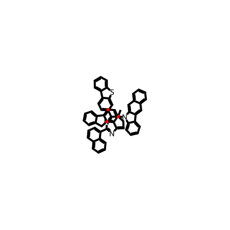 CC1C/C=C(c2c(-n3c4ccccc4c4cc5ccccc5cc43)ccc3c2Cc2ccccc2-3)/N=C(c2cccc3ccccc23)\N=C/1c1ccc2c(c1)sc1ccccc12